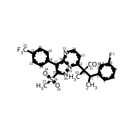 CC(c1cccc(F)c1)[C@@](C)(C(=O)O)c1ccnc2c(-c3ccc(C(F)(F)F)cc3)c(S(C)(=O)=O)nn12